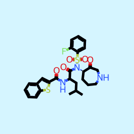 CC(C)CC(NC(=O)c1cc2ccccc2s1)C(=O)N([C@H]1CCCNCC1=O)S(=O)(=O)c1ccccc1F